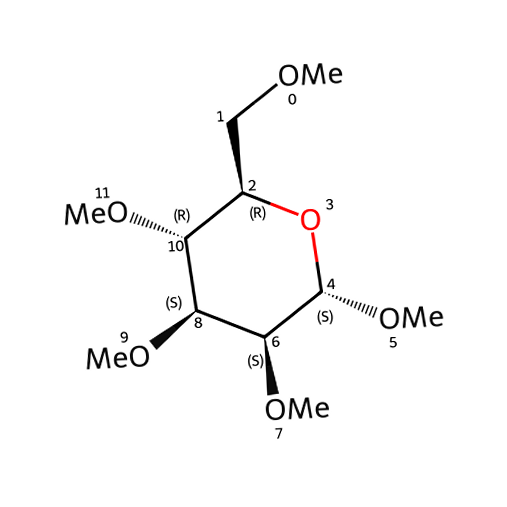 COC[C@H]1O[C@H](OC)[C@@H](OC)[C@@H](OC)[C@@H]1OC